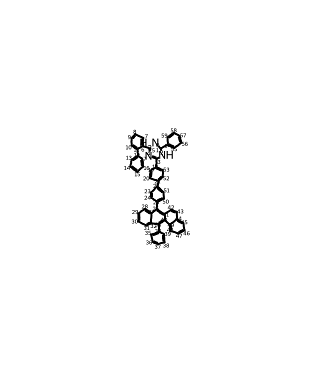 NC(N/C(=N\Cc1ccccc1-c1ccccc1)c1ccc(-c2ccc(-c3c4ccccc4c(-c4ccccc4)c4c3ccc3ccccc34)cc2)cc1)c1ccccc1